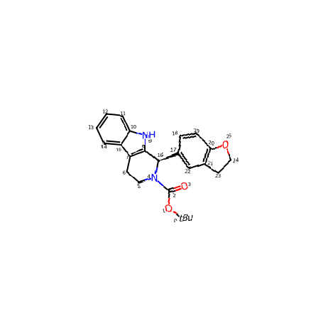 CC(C)(C)OC(=O)N1CCc2c([nH]c3ccccc23)[C@H]1c1ccc2c(c1)CCO2